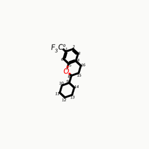 FC(F)(F)c1ccc2c(c1)OC(C1CCCCC1)CC2